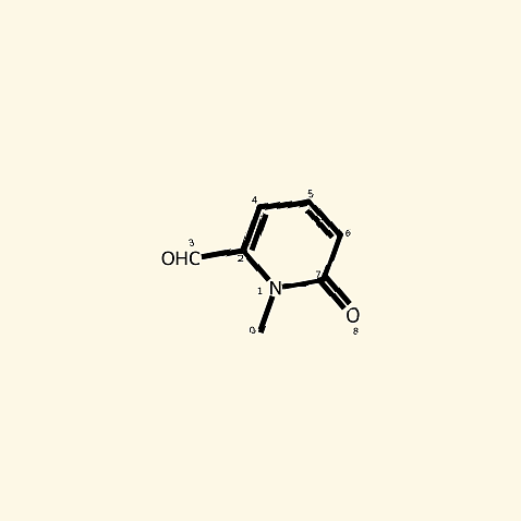 Cn1c(C=O)cccc1=O